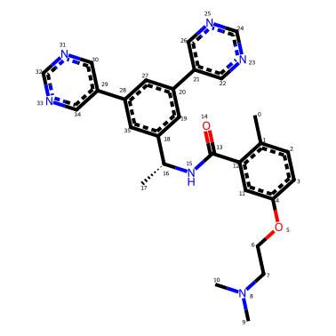 Cc1ccc(OCCN(C)C)cc1C(=O)N[C@H](C)c1cc(-c2cncnc2)cc(-c2cncnc2)c1